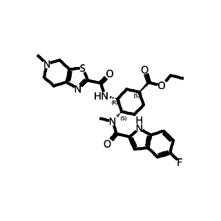 CCOC(=O)[C@H]1CC[C@H](N(C)C(=O)c2cc3cc(F)ccc3[nH]2)[C@H](NC(=O)c2nc3c(s2)CN(C)CC3)C1